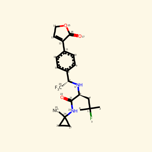 CC(C)(F)C[C@H](N[C@@H](c1ccc(C2=CCOC2=O)cc1)C(F)(F)F)C(=O)NC1(C#N)CC1